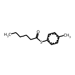 CCCCCC(=O)Sc1ccc(C)cc1